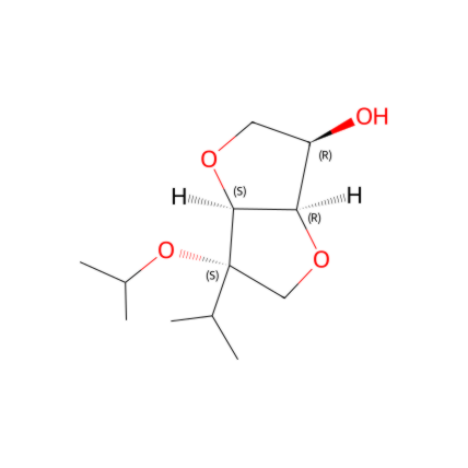 CC(C)O[C@@]1(C(C)C)CO[C@@H]2[C@H](O)CO[C@@H]21